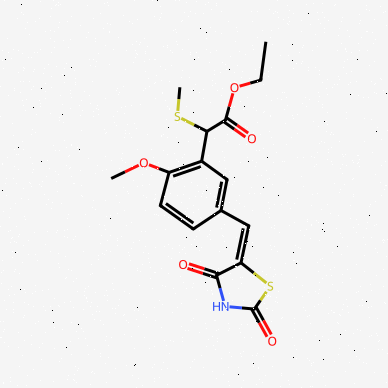 CCOC(=O)C(SC)c1cc(C=C2SC(=O)NC2=O)ccc1OC